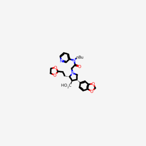 CCCCN(C(=O)CN1C[C@H](c2ccc3c(c2)OCO3)[C@@H](C(=O)O)[C@@H]1CCC1OCCO1)c1cccnc1